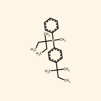 CCC(C)(C)c1ccc([Si](C)(c2ccccc2)C(C)(CC)CC)cc1